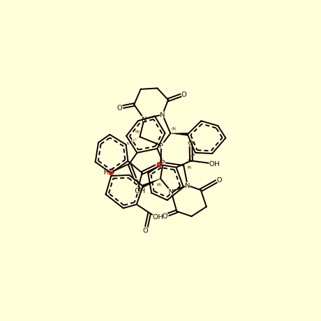 O=C(O)c1ccccc1[C@@H]1N2C(=O)CCC(=O)N2[C@@H](c2ccccc2[C@@H]2N3C(=O)CCC(=O)N3[C@@H](c3ccccc3C(=O)O)P2c2ccccc2C(=O)O)P1c1ccccc1C(=O)O